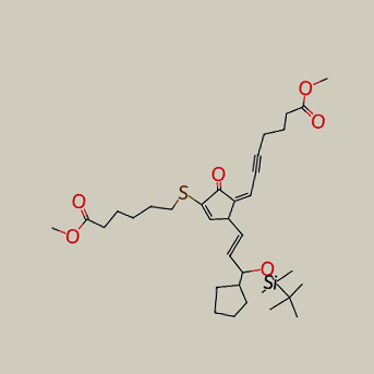 COC(=O)CCCC#CC=C1C(=O)C(SCCCCCC(=O)OC)=CC1C=CC(O[Si](C)(C)C(C)(C)C)C1CCCC1